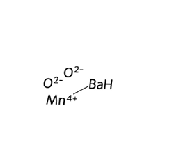 [Mn+4][BaH].[O-2].[O-2]